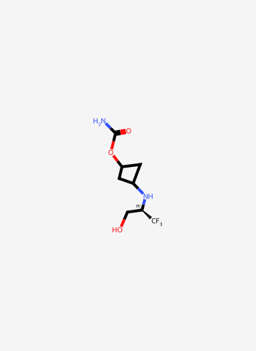 NC(=O)OC1CC(N[C@H](CO)C(F)(F)F)C1